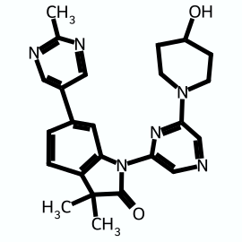 Cc1ncc(-c2ccc3c(c2)N(c2cncc(N4CCC(O)CC4)n2)C(=O)C3(C)C)cn1